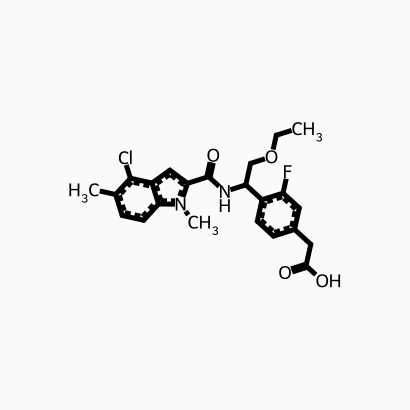 CCOCC(NC(=O)c1cc2c(Cl)c(C)ccc2n1C)c1ccc(CC(=O)O)cc1F